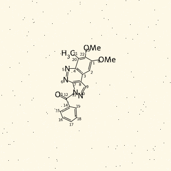 COc1cc2c(nnc3c2cnn3C(=O)c2ccccc2)c(C)c1OC